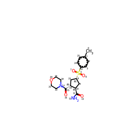 Cc1ccc(S(=O)(=O)[C@@H]2C[C@@H](C(N)=O)[C@H](C(=O)N3CCOCC3)C2)cc1